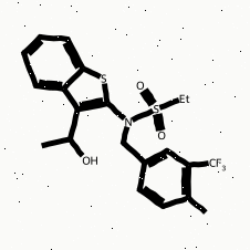 CCS(=O)(=O)N(Cc1ccc(C)c(C(F)(F)F)c1)c1sc2ccccc2c1C(C)O